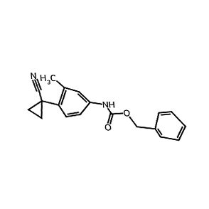 Cc1cc(NC(=O)OCc2ccccc2)ccc1C1(C#N)CC1